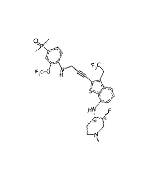 CN1CC[C@H](Nc2cccc3c(CC(F)(F)F)c(C#CCNc4ccc(P(C)(C)=O)cc4OC(F)(F)F)sc23)[C@@H](F)C1